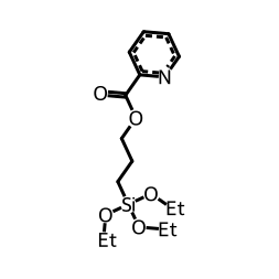 CCO[Si](CCCOC(=O)c1ccccn1)(OCC)OCC